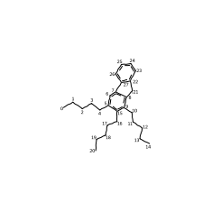 CCCCCc1cc2c(c(CCCCC)c1CCCCC)[CH]c1ccccc1-2